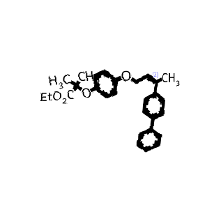 CCOC(=O)C(C)(C)Oc1ccc(OC/C=C(/C)c2ccc(-c3ccccc3)cc2)cc1